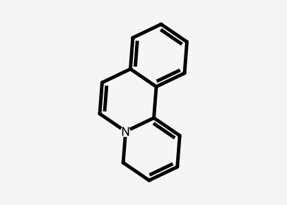 C1=CCN2C=Cc3ccccc3C2=C1